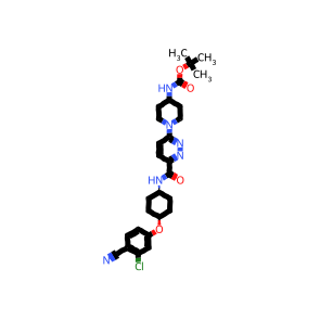 CC(C)(C)OC(=O)NC1CCN(c2ccc(C(=O)N[C@H]3CC[C@H](Oc4ccc(C#N)c(Cl)c4)CC3)nn2)CC1